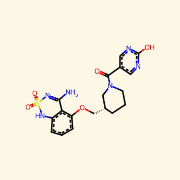 NC1=NS(=O)(=O)Nc2cccc(OC[C@H]3CCCN(C(=O)c4cnc(O)nc4)C3)c21